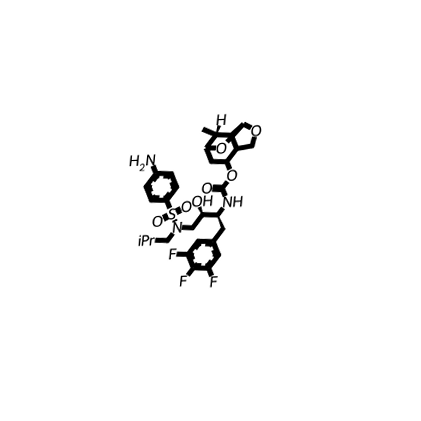 CC(C)CN(C[C@@H](O)[C@H](Cc1cc(F)c(F)c(F)c1)NC(=O)OC1CC2OC3OCC1C3[C@H]2C)S(=O)(=O)c1ccc(N)cc1